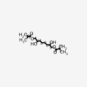 C=C(C)C(=O)OCC(O)CCCCC(O)COC(=O)C(=C)C